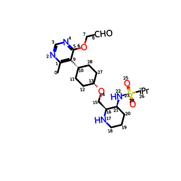 Cc1ncnc(OCC=O)c1[C@H]1CC[C@@H](OC[C@@H]2NCCC[C@@H]2NS(=O)(=O)C(C)C)CC1